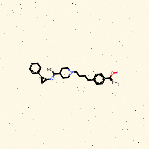 C=C(OI)c1ccc(CCCCN2CCC(C(C#N)NC3C[C@H]3C3=CCCC=C3)CC2)cc1